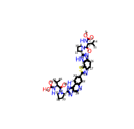 COC(=O)N[C@H](C(=O)N1CCC[C@H]1c1nc2ccc3nc(-c4ccc5c(c4)ncc4nc([C@@H]6CCCN6C(=O)[C@@H](NC(=O)O)C(C)C)[nH]c45)sc3c2[nH]1)C(C)C